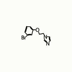 Brc1cccc(OCCn2ccnc2)c1